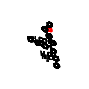 CC1(C)c2cc(-c3ccccc3)ccc2-c2ccc(C(c3cccc(-c4ccc(-c5cccc6c5oc5ccccc56)cc4)c3)c3ccc4c(c3)C(C)(C)c3cc(-c5ccccc5)ccc3-4)cc21